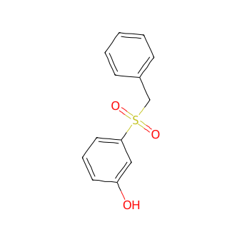 O=S(=O)(Cc1ccccc1)c1cccc(O)c1